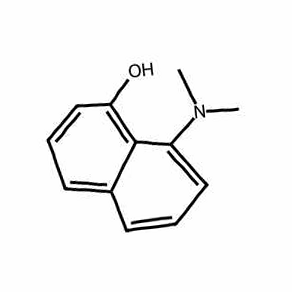 CN(C)c1cccc2cccc(O)c12